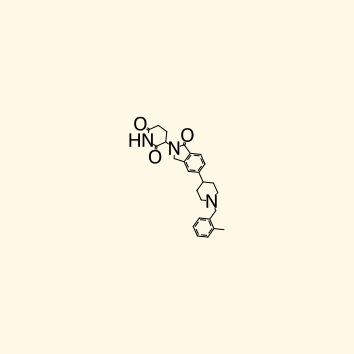 Cc1ccccc1CN1CCC(c2ccc3c(c2)CN(C2CCC(=O)NC2=O)C3=O)CC1